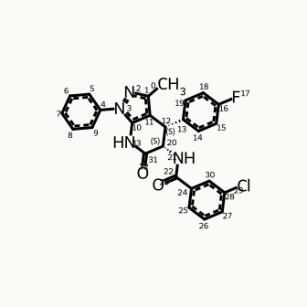 Cc1nn(-c2ccccc2)c2c1[C@H](c1ccc(F)cc1)[C@H](NC(=O)c1cccc(Cl)c1)C(=O)N2